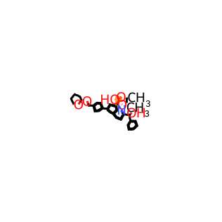 CCC(C)OP(=O)(O)c1cc(-c2ccc(COC3CCCCO3)cc2)cc2ccc(C(O)c3ccccc3)nc12